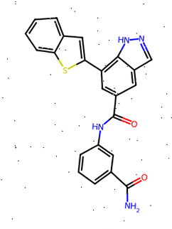 NC(=O)c1cccc(NC(=O)c2cc(-c3cc4ccccc4s3)c3[nH]ncc3c2)c1